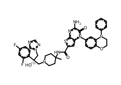 CC1(NC(=O)c2cc3c(nc(N)c(=O)n3-c3ccc4c(c3)N(c3ccccc3)CCO4)s2)CCN(C[C@](O)(Cn2cncn2)c2ccc(F)cc2F)CC1